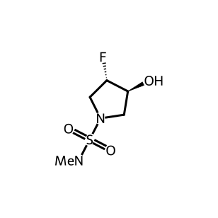 CNS(=O)(=O)N1C[C@H](O)[C@@H](F)C1